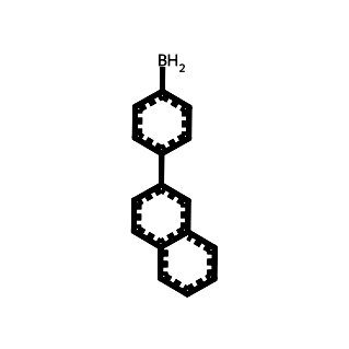 Bc1ccc(-c2ccc3ccccc3c2)cc1